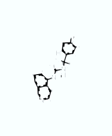 CC(C)(NC(=O)Nc1cccc2cnccc12)c1ccc(Cl)cc1